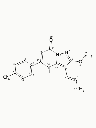 C/N=C/c1c(OC)nn2c(=O)cc(-c3ccc(Cl)cc3)[nH]c12